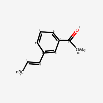 CCCCC=Cc1cccc(C(=O)OC)c1